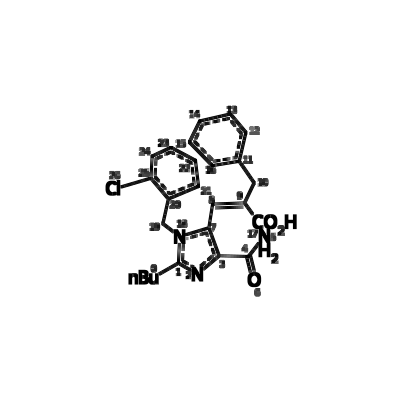 CCCCc1nc(C(N)=O)c(C=C(Cc2ccccc2)C(=O)O)n1Cc1ccccc1Cl